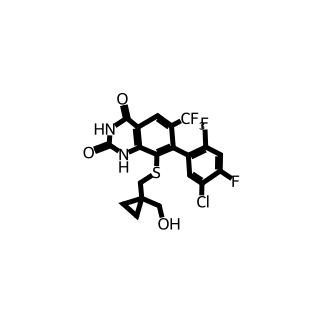 O=c1[nH]c(=O)c2cc(C(F)(F)F)c(-c3cc(Cl)c(F)cc3F)c(SCC3(CO)CC3)c2[nH]1